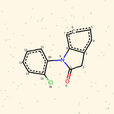 O=C1Cc2ccccc2N1c1ccccc1Cl